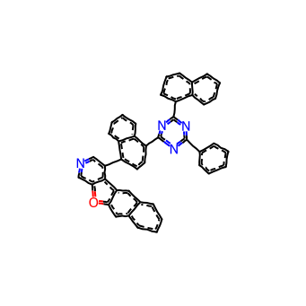 c1ccc(-c2nc(-c3cccc4ccccc34)nc(-c3ccc(-c4cncc5oc6cc7ccccc7cc6c45)c4ccccc34)n2)cc1